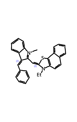 CCN1/C(=C/C2=[N+](C)c3ccccc3/C2=C/c2ccccc2)Sc2c1ccc1ccccc21